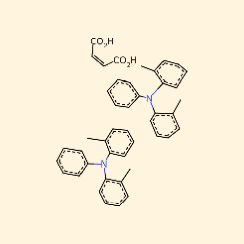 Cc1ccccc1N(c1ccccc1)c1ccccc1C.Cc1ccccc1N(c1ccccc1)c1ccccc1C.O=C(O)/C=C\C(=O)O